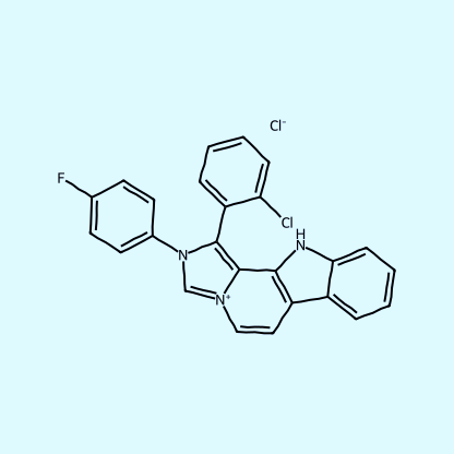 Fc1ccc(-n2c[n+]3ccc4c5ccccc5[nH]c4c3c2-c2ccccc2Cl)cc1.[Cl-]